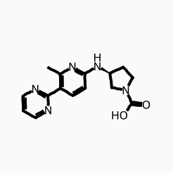 Cc1nc(N[C@H]2CCN(C(=O)O)C2)ccc1-c1ncccn1